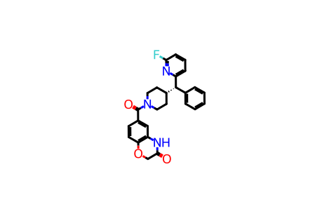 O=C1COc2ccc(C(=O)N3CCC([C@@H](c4ccccc4)c4cccc(F)n4)CC3)cc2N1